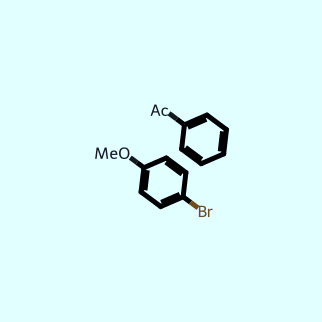 CC(=O)c1ccccc1.COc1ccc(Br)cc1